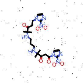 CC(C)(NCCCNC(C)(C)C(=O)CC(=O)n1ccnc1[N+](=O)[O-])C(=O)CCn1ccnc1[N+](=O)[O-]